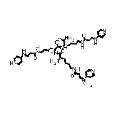 CN(CCC(=O)NCCCC[C@H](N)C(=O)N[C@@H](CCCCNC(=O)CCNC1=CCNC=C1)C(=O)N[C@@H](CCCCNC(=O)CCNc1ccncc1)C(N)=O)c1ccncc1